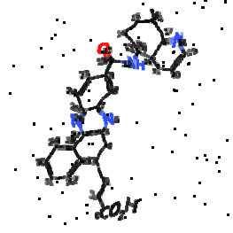 O=C(O)CCCCc1nc2cc(C(=O)N[C@H]3CCCc4ncccc43)ccc2nc1-c1ccccc1